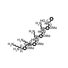 COc1ccc(NC(=O)[C@H](CCCCN)NC(=O)c2cc(NC(=O)[C@@H](N)CCCCN)ccc2OC)cc1C(=O)N[C@@H](CCCCN)C(=O)Nc1ccc(OC)c(C(=O)N[C@@H](CCCCN)C(=O)Nc2ccc(OC)c(C(=O)N[C@H](Cc3ccccc3)C(=O)O)c2)c1